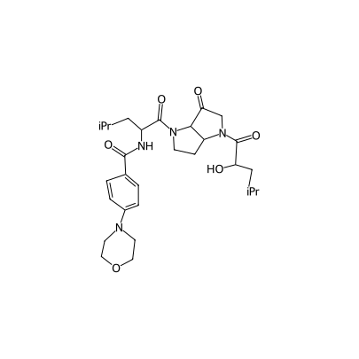 CC(C)CC(O)C(=O)N1CC(=O)C2C1CCN2C(=O)C(CC(C)C)NC(=O)c1ccc(N2CCOCC2)cc1